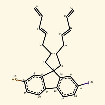 C=C/C=C/CCCC1(CCC/C=C/C=C)c2cc(S)ccc2-c2ccc(I)cc21